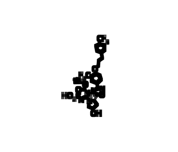 CC(C)(C)OC(=O)N/C(=N\C(=O)O)N1C[C@H](O)C[C@H]1c1nc(-c2ccc(OCCCc3ccc(C(F)(F)F)cc3)c(C(F)(F)F)c2)no1